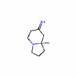 CC12CCCN1CCC(=N)C2